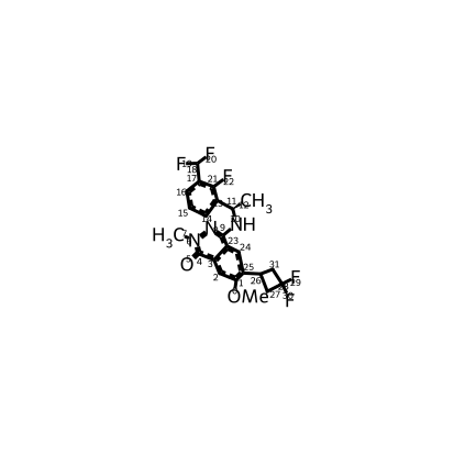 COc1cc2c(=O)n(C)nc(N[C@H](C)c3cccc(C(F)F)c3F)c2cc1C1CC(F)(F)C1